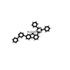 CC1(C)c2cc(-c3cccc(-c4ccccc4)c3)ccc2-c2cccc(-c3nc(-c4ccccc4)nc(-c4ccccc4)n3)c21